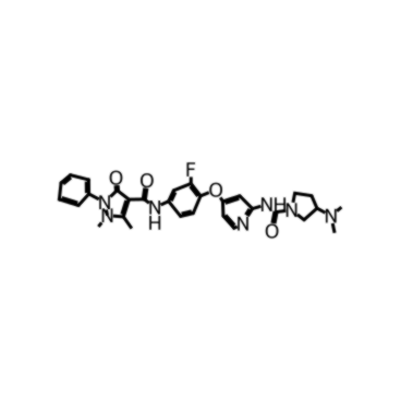 Cc1c(C(=O)Nc2ccc(Oc3ccnc(NC(=O)N4CCC(N(C)C)C4)c3)c(F)c2)c(=O)n(-c2ccccc2)n1C